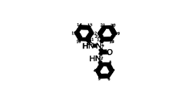 O=C(Nc1ccccc1)N(Nc1ccccc1)c1ccccc1